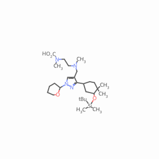 CN(CCN(C)C(=O)O)Cc1cn(C2CCCCO2)nc1C1CCC(C)(C)C(O[Si](C)(C)C(C)(C)C)C1